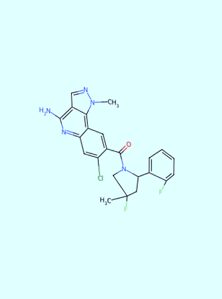 Cn1ncc2c(N)nc3cc(Cl)c(C(=O)N4CC(C)(F)CC4c4ccccc4F)cc3c21